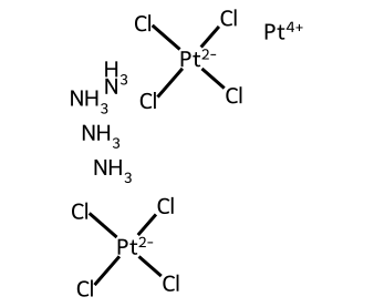 N.N.N.N.[Cl][Pt-2]([Cl])([Cl])[Cl].[Cl][Pt-2]([Cl])([Cl])[Cl].[Pt+4]